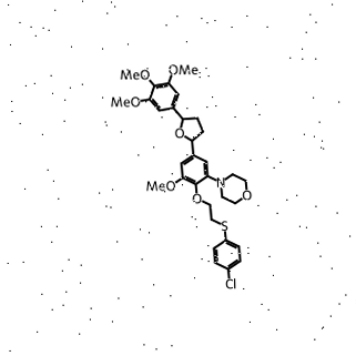 COc1cc(C2CCC(c3cc(OC)c(OCCSc4ccc(Cl)cc4)c(N4CCOCC4)c3)O2)cc(OC)c1OC